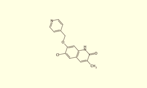 Cc1cc2cc(Cl)c(OCc3ccncc3)cc2[nH]c1=O